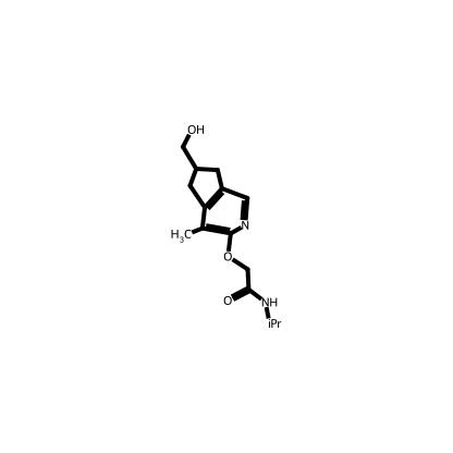 Cc1c(OCC(=O)NC(C)C)ncc2c1CC(CO)C2